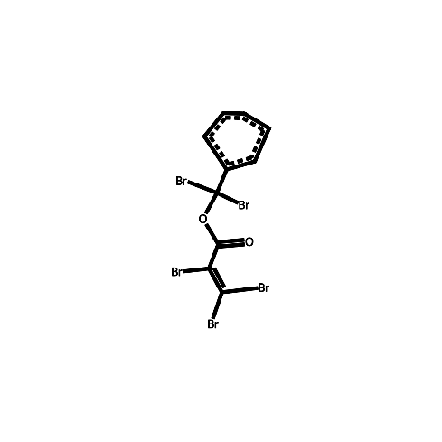 O=C(OC(Br)(Br)c1ccccc1)C(Br)=C(Br)Br